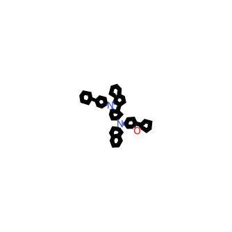 c1ccc(-c2ccc(-n3c4ccc(N(c5ccc6ccccc6c5)c5ccc6c(c5)oc5ccccc56)cc4c4ccc5ccccc5c43)cc2)cc1